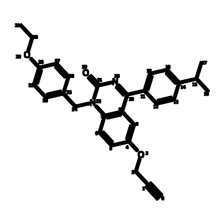 C#CCOc1ccc2c(c1)c(-c1ccc(C(C)C)cc1)nc(=O)n2Cc1ccc(OCC)cc1